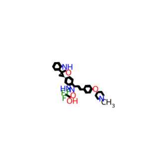 CN1CCC(Oc2ccc(C=Cc3n[nH]c4cc([C@@H]5C[C@@]56C(=O)Nc5ccccc56)ccc34)cc2)CC1.O=C(O)C(F)(F)F